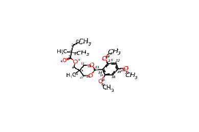 CCC(C)(C)C(=O)OCC1(C)COC(c2c(OC)cc(OC)cc2OC)OC1